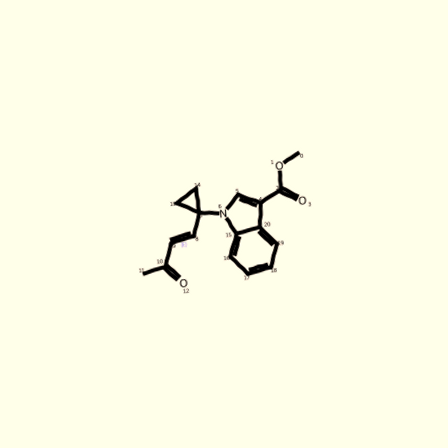 COC(=O)c1cn(C2(/C=C/C(C)=O)CC2)c2ccccc12